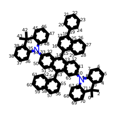 CC1(C)c2ccccc2N(c2ccc3c(-c4ccc(-c5ccccc5)c5ccccc45)c4cc(N5c6ccccc6C(C)(C)c6ccccc65)ccc4c(-c4cccc5ccccc45)c3c2)c2ccccc21